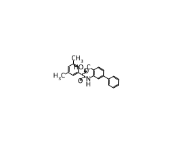 Cc1cc(C)cc(S(=O)(=O)Nc2cc(-c3ccccc3)ccc2C(=O)O)c1